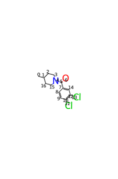 CC1CCN(C(=O)c2ccc(Cl)c(Cl)c2)CC1